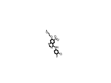 COCCOc1cc2ncnc(Nc3ccc(F)c(Cl)c3)c2cc1[N+](=O)[O-]